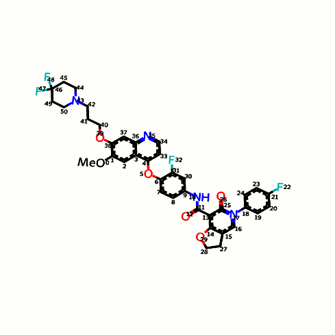 COc1cc2c(Oc3ccc(NC(=O)c4c5c(cn(-c6ccc(F)cc6)c4=O)CCO5)cc3F)ccnc2cc1OCCCN1CCC(F)(F)CC1